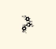 Nc1ccc(Nc2ncc(F)c(Nc3ccc(N)cc3)n2)cc1.[H+]